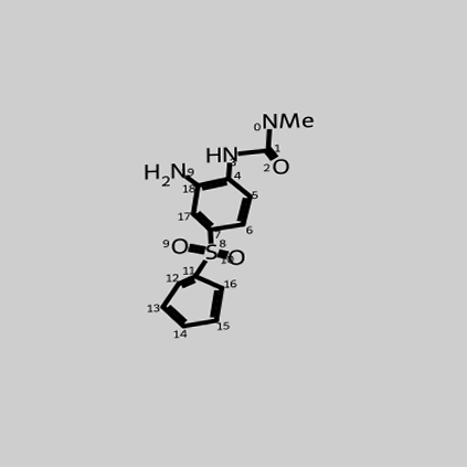 CNC(=O)Nc1ccc(S(=O)(=O)c2ccccc2)cc1N